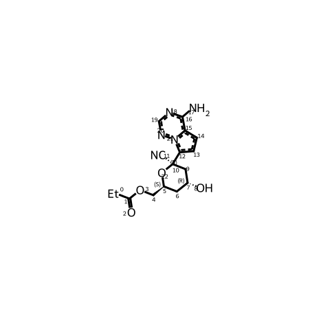 CCC(=O)OC[C@@H]1C[C@@H](O)C[C@](C#N)(c2ccc3c(N)ncnn23)O1